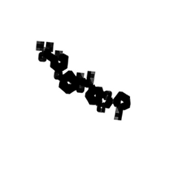 CC(Oc1cc(Nc2nc3cc(Oc4ccnc(C(N)=O)c4)ccc3o2)ccc1Cl)[C@@H]1CCCN1